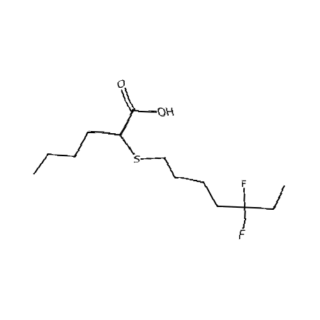 CCCCC(SCCCCC(F)(F)CC)C(=O)O